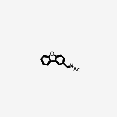 CC(=O)/N=C/c1ccc2oc3ccccc3c2c1